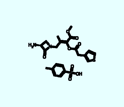 COC(=O)C(OC(=O)Cc1ccsc1)=C(C)CN1C[C@H](N)C1=O.Cc1ccc(S(=O)(=O)O)cc1